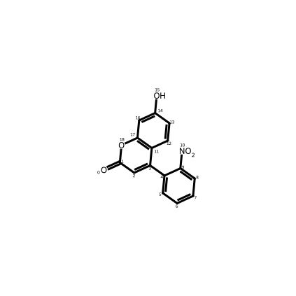 O=c1cc(-c2ccccc2[N+](=O)[O-])c2ccc(O)cc2o1